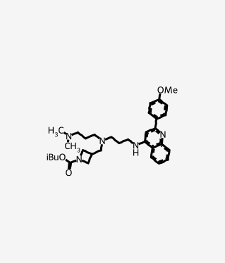 COc1ccc(-c2cc(NCCCN(CCCN(C)C)CC3CN(C(=O)OCC(C)C)C3)c3ccccc3n2)cc1